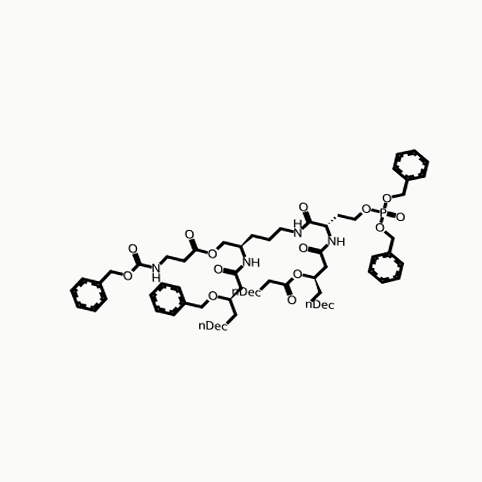 CCCCCCCCCCCC(=O)O[C@H](CCCCCCCCCCC)CC(=O)N[C@@H](CCOP(=O)(OCc1ccccc1)OCc1ccccc1)C(=O)NCCC[C@H](COC(=O)CCNC(=O)OCc1ccccc1)NC(=O)C[C@@H](CCCCCCCCCCC)OCc1ccccc1